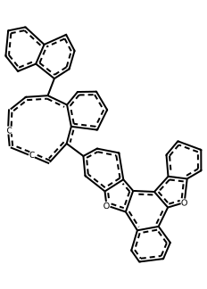 c1cccc(-c2cccc3ccccc23)c2ccccc2c(-c2ccc3c(c2)oc2c4ccccc4c4oc5ccccc5c4c32)cc1